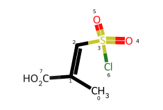 CC(=CS(=O)(=O)Cl)C(=O)O